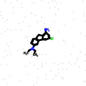 CCN(CC)c1ccc2c(c1)-c1cc(Cl)cc(N)c1C2